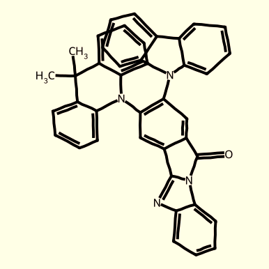 CC1(C)c2ccccc2N(c2cc3c(cc2-n2c4ccccc4c4ccccc42)C(=O)n2c-3nc3ccccc32)c2ccccc21